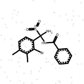 Cc1ccc(C(N)(NC(=O)c2ccccc2)[SH](=O)=O)c(Br)c1C